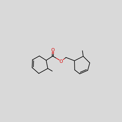 CC1CC=CCC1COC(=O)C1CC=CCC1C